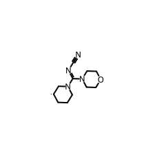 N#CN=C(N1C[CH]CCC1)N1CCOCC1